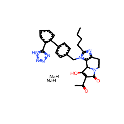 CCCCc1nc2c(n1Cc1ccc(-c3ccccc3-c3nnn[nH]3)cc1)C1C(O)=C(C(C)=O)C(=O)N1CC2.[NaH].[NaH]